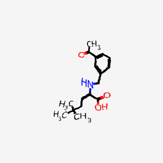 CC(=O)c1cccc(CNC(CCC(C)(C)C)C(=O)O)c1